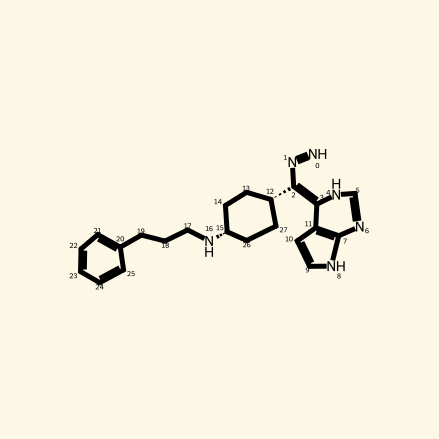 N=N/C(=C1\NC=Nc2[nH]ccc21)[C@H]1CC[C@@H](NCCCc2ccccc2)CC1